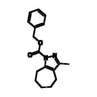 Cc1nn(C(=O)OCc2ccccc2)c2c1CCCCC2